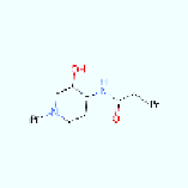 CC(C)CC(=O)NC1CCN(C(C)C)CC1O